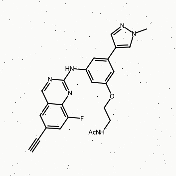 C#Cc1cc(F)c2nc(Nc3cc(OCCNC(C)=O)cc(-c4cnn(C)c4)c3)ncc2c1